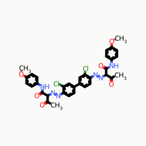 COc1ccc(NC(=O)C(N=Nc2ccc(-c3ccc(N=NC(C(C)=O)C(=O)Nc4ccc(OC)cc4)c(Cl)c3)cc2Cl)C(C)=O)cc1